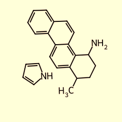 CC1CCC(N)c2c1ccc1c2ccc2ccccc21.c1cc[nH]c1